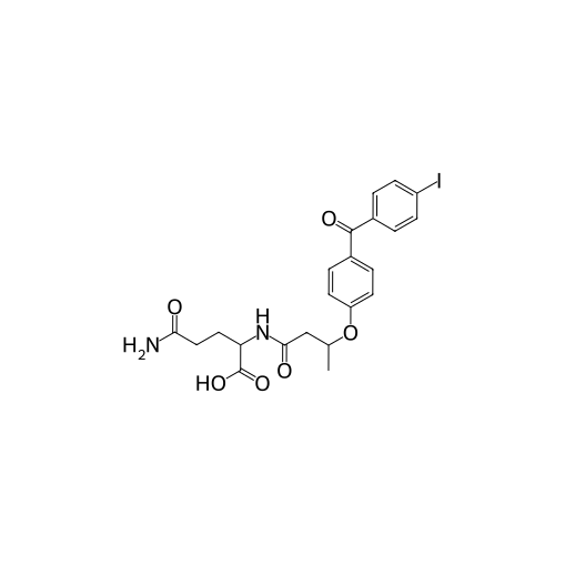 CC(CC(=O)NC(CCC(N)=O)C(=O)O)Oc1ccc(C(=O)c2ccc(I)cc2)cc1